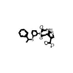 COC(=O)c1csc2[nH]c(=O)n(-c3cccc(SC(C)c4ccccc4)c3)c(=O)c12